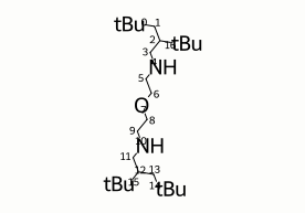 CC(C)(C)CC(CNCCOCCNCC(CC(C)(C)C)C(C)(C)C)C(C)(C)C